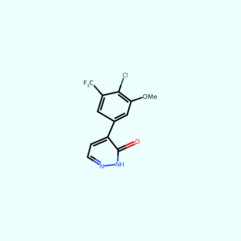 COc1cc(-c2ccn[nH]c2=O)cc(C(F)(F)F)c1Cl